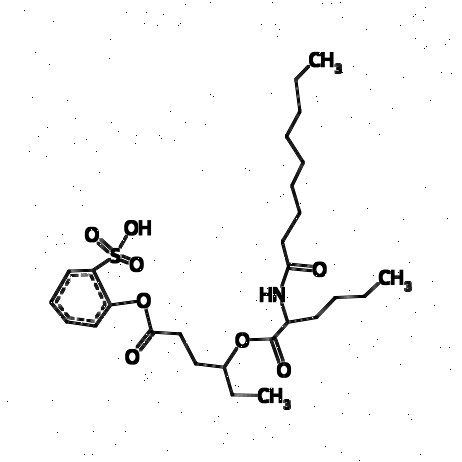 CCCCCCCCC(=O)NC(CCCC)C(=O)OC(CC)CCC(=O)Oc1ccccc1S(=O)(=O)O